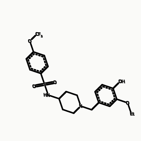 CCOc1cc(CN2CCC(NS(=O)(=O)c3ccc(OC(F)(F)F)cc3)CC2)ccc1O